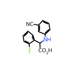 N#Cc1cccc(NC(C(=O)O)c2ccccc2F)c1